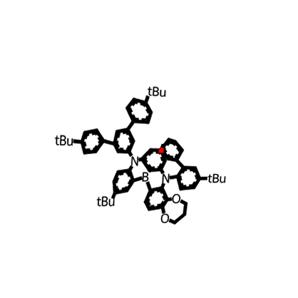 Cc1cc2c3c(c1)N(c1ccc(C(C)(C)C)cc1-c1ccccc1)c1c(ccc4c1OCCCO4)B3c1cc(C(C)(C)C)ccc1N2c1cc(-c2ccc(C(C)(C)C)cc2)cc(-c2ccc(C(C)(C)C)cc2)c1